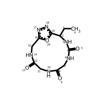 CCC1NC(=O)NCC(=O)NCC(=O)NCc2nnc1o2